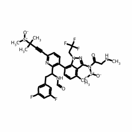 CNCC(=O)N(c1nn(CC(F)(F)F)c2c(-c3ccc(C#CC(C)(C)[S+](C)[O-])nc3C(Cc3cc(F)cc(F)c3)NC=O)ccc(Cl)c12)[S+](C)[O-]